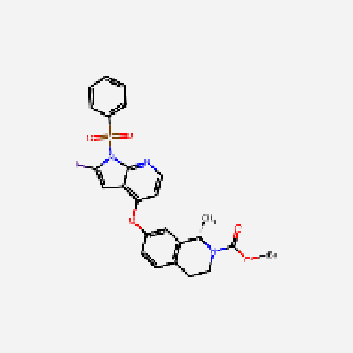 C[C@H]1c2cc(Oc3ccnc4c3cc(I)n4S(=O)(=O)c3ccccc3)ccc2CCN1C(=O)OC(C)(C)C